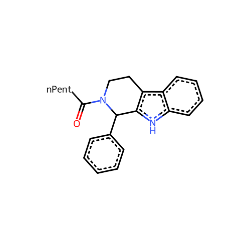 CCCCCC(=O)N1CCc2c([nH]c3ccccc23)C1c1ccccc1